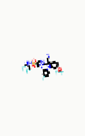 N#Cc1c(-c2ncc(S(=O)(=O)NC(CF)CF)cn2)n(-c2ccc(F)cc2)c2cc(OC(F)F)ccc12